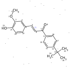 COc1cc(/C=C/C(=O)c2ccc(C(C)(C)C)cc2)ccc1O